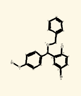 CCOc1ccc(C(OCc2ccccc2)c2cc(Br)ccc2Cl)cc1